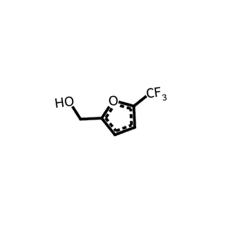 OCc1ccc(C(F)(F)F)o1